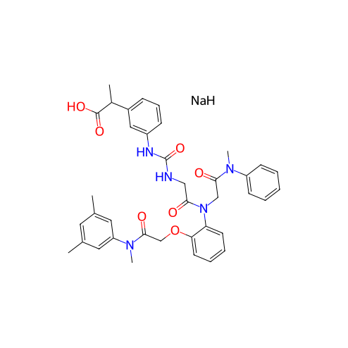 Cc1cc(C)cc(N(C)C(=O)COc2ccccc2N(CC(=O)N(C)c2ccccc2)C(=O)CNC(=O)Nc2cccc(C(C)C(=O)O)c2)c1.[NaH]